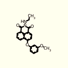 CCNN1C(=O)c2cccc3c(Oc4cccc(OC)c4)ccc(c23)C1=O